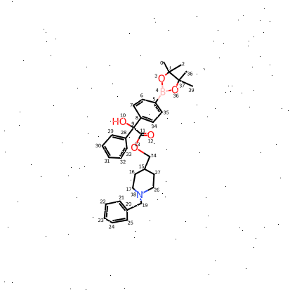 CC1(C)OB(c2ccc(C(O)(C(=O)OCC3CCN(Cc4ccccc4)CC3)c3ccccc3)cc2)OC1(C)C